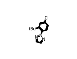 CC(C)(C)c1cc(Cl)ccc1-n1nccn1